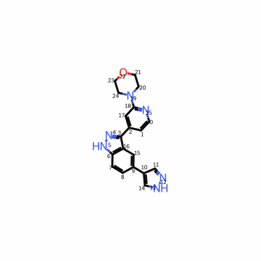 c1cc(-c2n[nH]c3ccc(-c4cn[nH]c4)cc23)cc(N2CCOCC2)n1